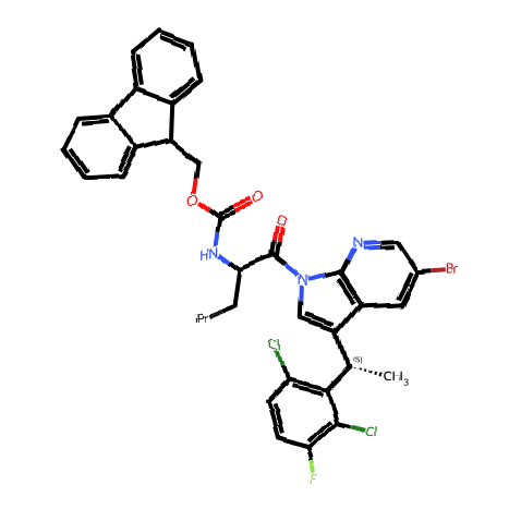 CC(C)CC(NC(=O)OCC1c2ccccc2-c2ccccc21)C(=O)n1cc([C@H](C)c2c(Cl)ccc(F)c2Cl)c2cc(Br)cnc21